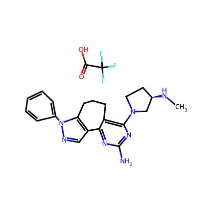 CN[C@@H]1CCN(c2nc(N)nc3c2CCCc2c-3cnn2-c2ccccc2)C1.O=C(O)C(F)(F)F